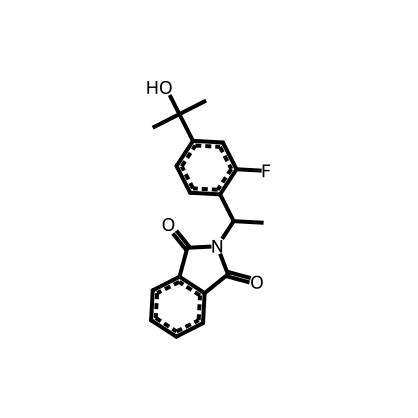 CC(c1ccc(C(C)(C)O)cc1F)N1C(=O)c2ccccc2C1=O